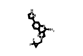 Nc1nc2cc(-c3cc[nH]n3)ccc2c2nn(CC3CC3(F)F)cc12